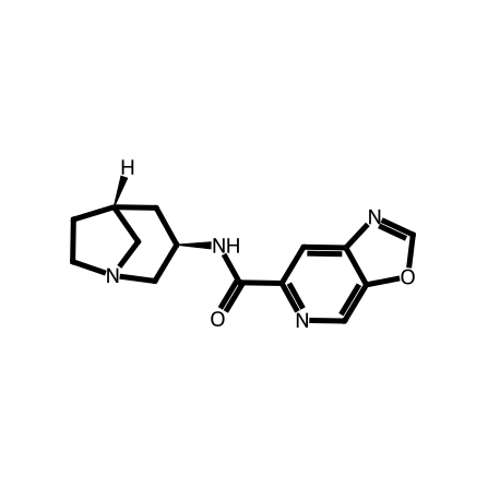 O=C(N[C@@H]1C[C@H]2CCN(C2)C1)c1cc2ncoc2cn1